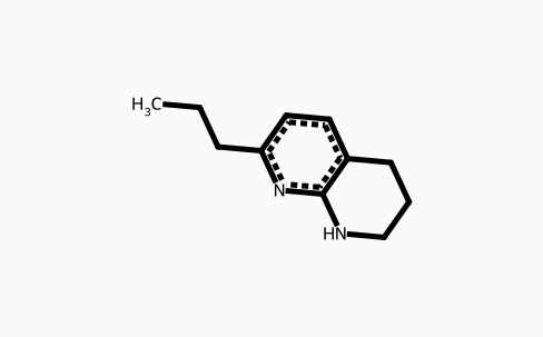 CCCc1ccc2c(n1)NCCC2